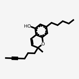 CC#CCCCC1(C)C=Cc2c(O)cc(CCCCC)cc2O1